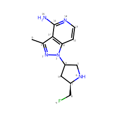 Cc1nn(C2CN[C@@H](CF)C2)c2ccnc(N)c12